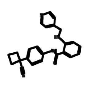 N#CC1(c2ccc(NC(=O)c3ccccc3NCc3ccncc3)cc2)CCC1